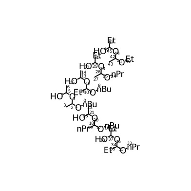 CCCCOC(C)OC(C)O.CCCCOC(CC)OC(C)O.CCCCOC(CCC)OC(C)O.CCCOC(C)OC(O)CC.CCCOC(CC)OC(O)CC.CCOC(C)OC(O)CC